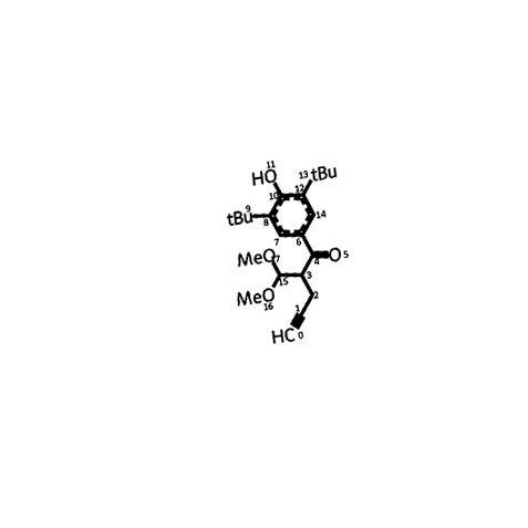 C#CCC(C(=O)c1cc(C(C)(C)C)c(O)c(C(C)(C)C)c1)C(OC)OC